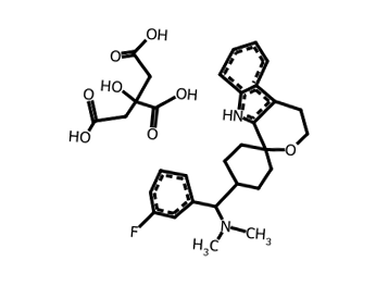 CN(C)C(c1cccc(F)c1)C1CCC2(CC1)OCCc1c2[nH]c2ccccc12.O=C(O)CC(O)(CC(=O)O)C(=O)O